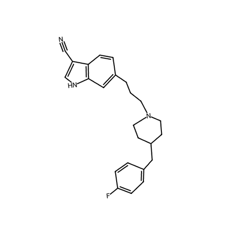 N#Cc1c[nH]c2cc(CCCN3CCC(Cc4ccc(F)cc4)CC3)ccc12